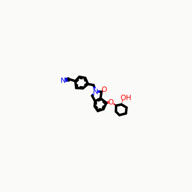 N#Cc1ccc(CN2Cc3cccc(O[C@@H]4CCCC[C@H]4O)c3C2=O)cc1